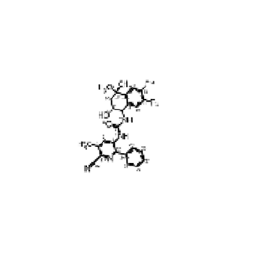 Cc1cc(NC(=O)N[C@@H]2c3cc(F)c(F)cc3C(C)(C)C[C@H]2O)c(-c2ccccc2)nc1C#N